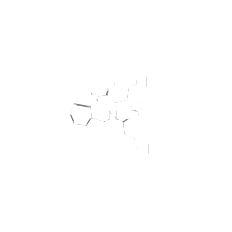 CC[C@H](C)[C@H]1C(=O)Nc2ccccc2CN1C(=O)CCO